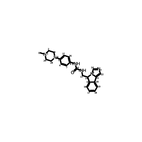 CN1CCN(c2ccc(NC(=O)NCC3c4ccccc4-c4cncn43)cc2)CC1